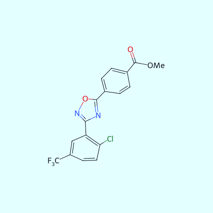 COC(=O)c1ccc(-c2nc(-c3cc(C(F)(F)F)ccc3Cl)no2)cc1